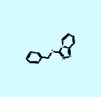 c1ccc(COc2nnc3ccccn23)cc1